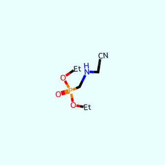 CCOP(=O)(CNCC#N)OCC